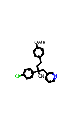 COc1ccc(CCC(C#N)(Cc2cccnc2)c2ccc(Cl)cc2)cc1